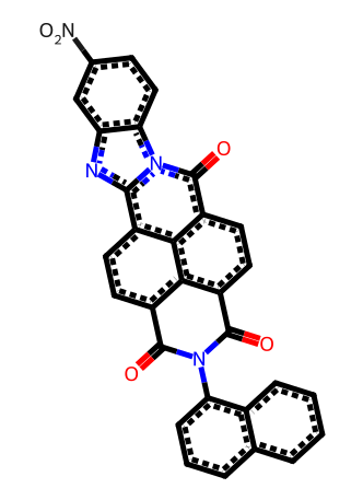 O=C1c2ccc3c(=O)n4c5ccc([N+](=O)[O-])cc5nc4c4ccc(c2c34)C(=O)N1c1cccc2ccccc12